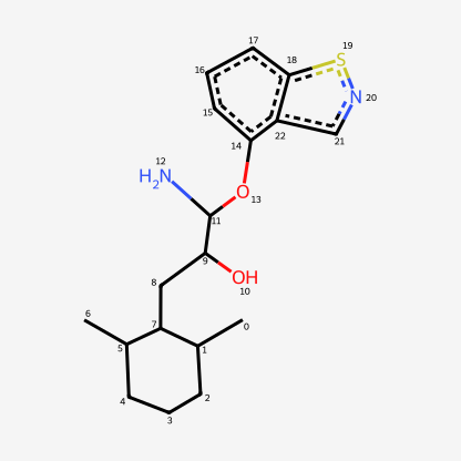 CC1CCCC(C)C1CC(O)C(N)Oc1cccc2sncc12